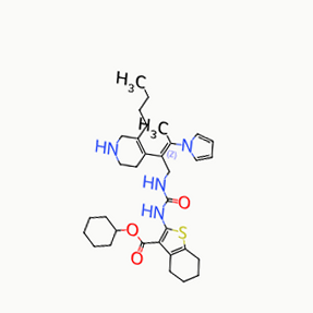 CCCCC1=C(/C(CNC(=O)Nc2sc3c(c2C(=O)OC2CCCCC2)CCCC3)=C(\C)n2cccc2)CCNC1